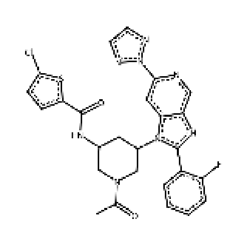 CC(=O)N1CC(NC(=O)c2ccc(Cl)s2)CC(n2c(-c3ccccc3F)nc3cnc(-n4nccn4)cc32)C1